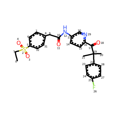 CCS(=O)(=O)c1ccc(CC(=O)Nc2ccc(C(=O)C(C)(C)c3ccc(F)cc3)nc2)cc1